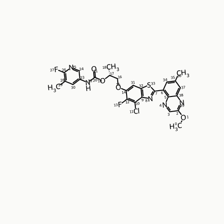 COc1cnc2c(-c3nc4c(Cl)c(F)c(OC[C@@H](C)OC(=O)Nc5cnc(F)c(C)c5)cc4s3)cc(C)cc2n1